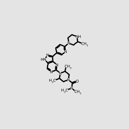 CC1CN(c2ccc(-c3n[nH]c4cnc(N5C(C)CN(C(=O)N(C)C)CC5C)nc34)cn2)CCN1